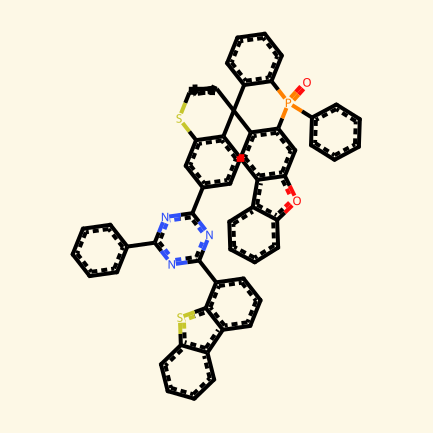 O=P1(c2ccccc2)c2ccccc2C2(c3ccccc3Sc3cc(-c4nc(-c5ccccc5)nc(-c5cccc6c5sc5ccccc56)n4)ccc32)c2cc3c(cc21)oc1ccccc13